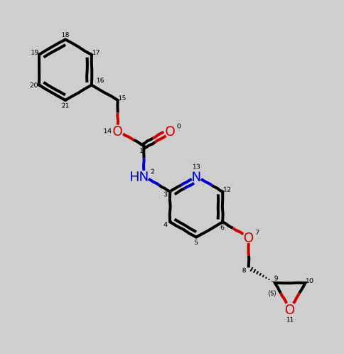 O=C(Nc1ccc(OC[C@@H]2CO2)cn1)OCc1ccccc1